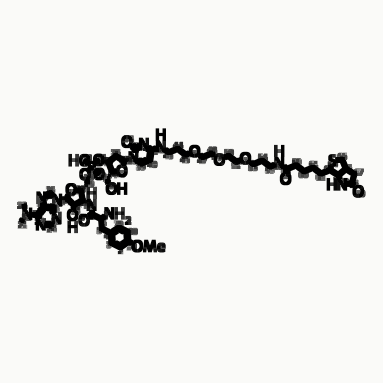 COc1ccc(CC(N)C(=O)N[C@@H]2C(O)[C@H](n3cnc4c(N(C)C)ncnc43)O[C@@H]2COP(=O)(O)O[C@@H]2C[C@H](n3ccc(NCCCOCCOCCOCCCNC(=O)CCCCC4SCC5CC(=O)NC54)nc3=O)O[C@@H]2CO)cc1